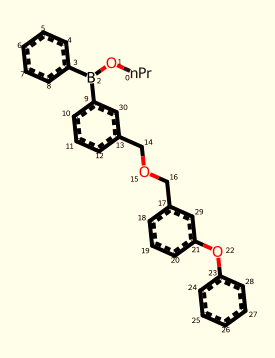 CCCOB(c1ccccc1)c1cccc(COCc2cccc(Oc3ccccc3)c2)c1